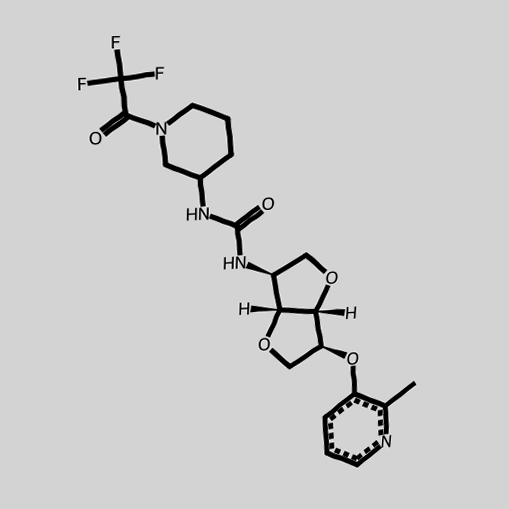 Cc1ncccc1O[C@H]1CO[C@H]2[C@@H]1OC[C@@H]2NC(=O)NC1CCCN(C(=O)C(F)(F)F)C1